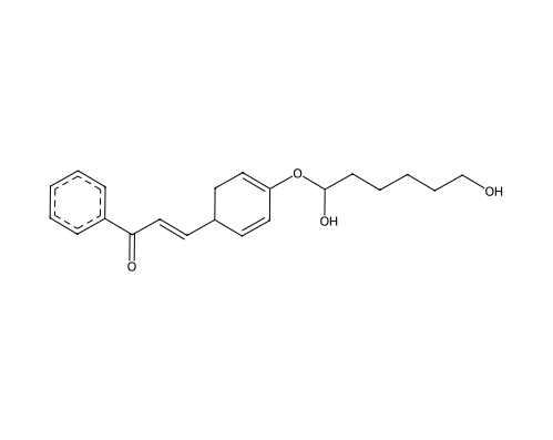 O=C(C=CC1C=CC(OC(O)CCCCCO)=CC1)c1ccccc1